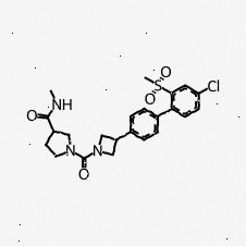 CNC(=O)C1CCN(C(=O)N2CC(c3ccc(-c4ccc(Cl)cc4S(C)(=O)=O)cc3)C2)C1